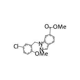 COC(=O)c1ccc2cnn(Cc3cc(Cl)ccc3OC)c2c1